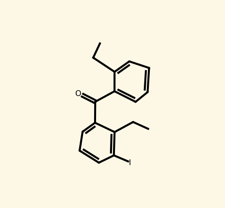 CCc1ccccc1C(=O)c1cccc(I)c1CC